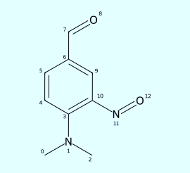 CN(C)c1ccc(C=O)cc1N=O